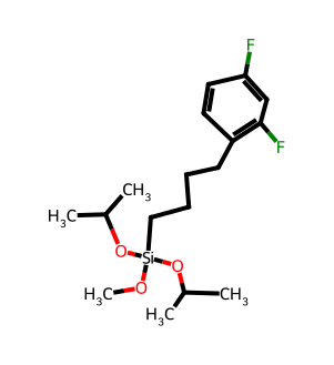 CO[Si](CCCCc1ccc(F)cc1F)(OC(C)C)OC(C)C